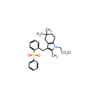 CCOC(=O)Cn1c(C)c(Cc2ccccc2S(=O)(=O)c2ccccc2)c2c1CCC(C)(C)C2